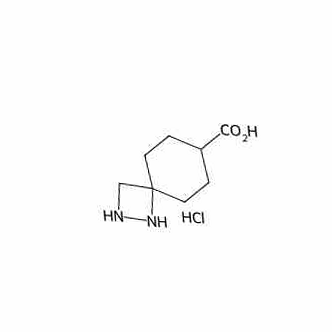 Cl.O=C(O)C1CCC2(CC1)CNN2